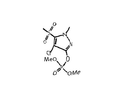 COP(=O)(OC)Oc1nn(C)c(S(C)(=O)=O)c1Cl